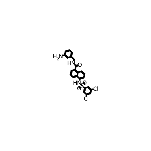 Nc1cccc(CNC(=O)c2cccc3c(NS(=O)(=O)c4cc(Cl)cc(Cl)c4)cccc23)c1